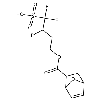 O=C(OCCC(F)C(F)(F)S(=O)(=O)O)C1CC2C=CC1O2